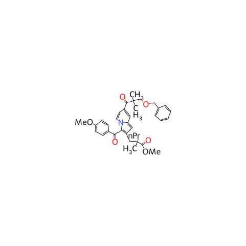 CCCC(C)(Cc1cc2cc(C(=O)C(C)(C)COCc3ccccc3)ccn2c1C(=O)c1ccc(OC)cc1)C(=O)OC